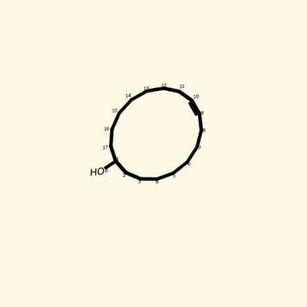 OC1CCCCCCCC=CCCCCCCC1